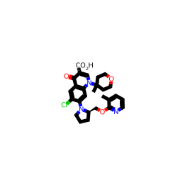 Cc1cccnc1OC[C@H]1CCCN1c1cc2c(cc1Cl)c(=O)c(C(=O)O)cn2C1(C)CCOCC1